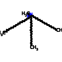 [CH2]c1nc(CCCCCCCCCCCCCCCCCCCCCCC)c(CCCCCCCCCCCCCCCCCCCCCCC)c(CCCCCCCCCCCCCCCCCCCCCCC)n1